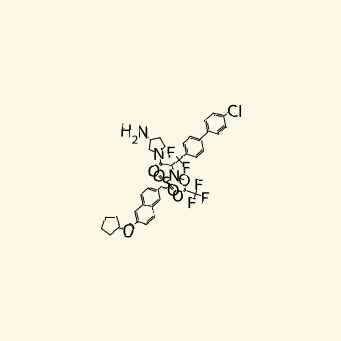 N[C@@H]1CCN(C(=O)[C@H](N(OC(=O)C(F)(F)F)S(=O)(=O)c2ccc3cc(OC4CCCC4)ccc3c2)C(F)(F)c2ccc(-c3ccc(Cl)cc3)cc2)C1